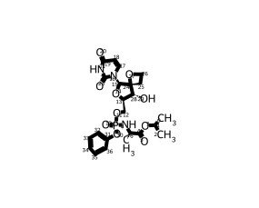 CC(C)OC(=O)[C@H](C)NP(=O)(OC[C@H]1O[C@@H](n2ccc(=O)[nH]c2=O)[C@@]2(CCO2)[C@@H]1O)Oc1ccccc1